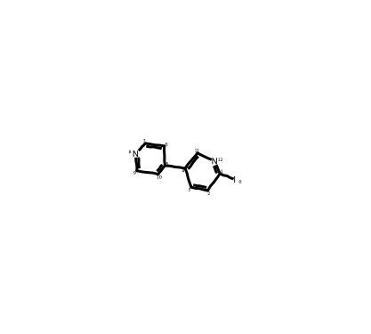 Ic1ccc(-c2ccncc2)cn1